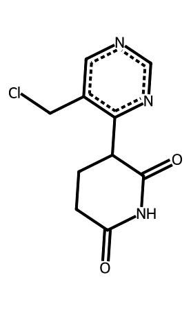 O=C1CCC(c2ncncc2CCl)C(=O)N1